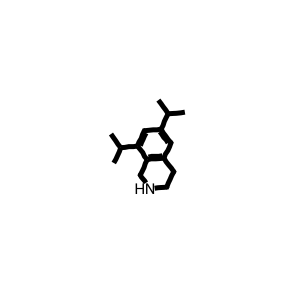 CC(C)c1cc2c(c(C(C)C)c1)CNCC2